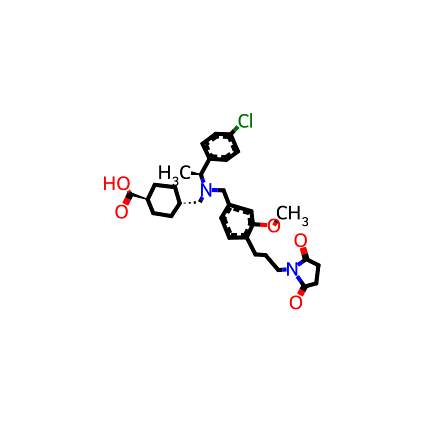 COc1cc(CN(C[C@H]2CC[C@H](C(=O)O)CC2)[C@@H](C)c2ccc(Cl)cc2)ccc1CCCN1C(=O)CCC1=O